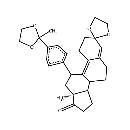 CC1(c2ccc(C3C[C@]4(C)C(=O)CCC4C4CCC5=CC6(CCC5=C34)OCCO6)cc2)OCCO1